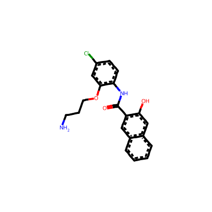 NCCCOc1cc(Cl)ccc1NC(=O)c1cc2ccccc2cc1O